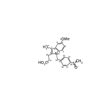 COc1ccc2c(c1)c(C)c(CCC(=O)O)n2Cc1ccc([S+](C)[O-])cc1